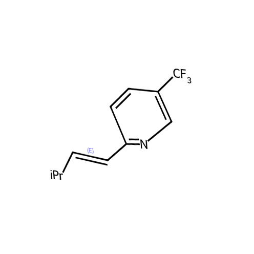 CC(C)/C=C/c1ccc(C(F)(F)F)cn1